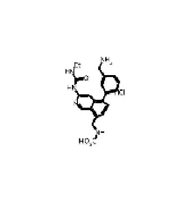 CCNC(=O)Nc1cc2c(-c3cccc(CN)c3)ccc(CNC(=O)O)c2cn1.Cl